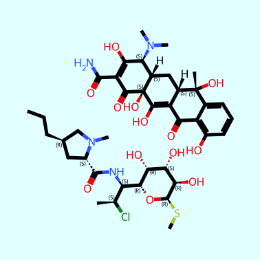 CCC[C@@H]1C[C@@H](C(=O)N[C@@H]([C@H]2O[C@H](SC)[C@H](O)[C@@H](O)[C@H]2O)[C@H](C)Cl)N(C)C1.CN(C)[C@@H]1C(O)=C(C(N)=O)C(=O)[C@@]2(O)C(O)=C3C(=O)c4c(O)cccc4[C@@](C)(O)[C@H]3C[C@@H]12